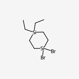 CC[Si]1(CC)CC[Si](Br)(Br)CC1